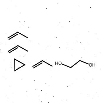 C1CC1.C=CC.C=CC.C=CC.OCCO